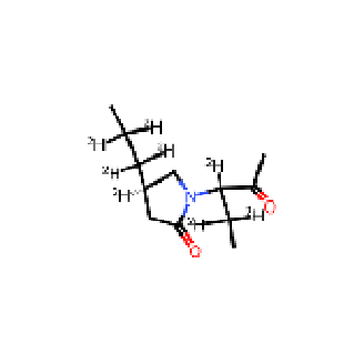 [2H]C([2H])(C)C([2H])([2H])[C@]1([2H])CC(=O)N([C@]([2H])(C(C)=O)C([2H])([2H])C)C1